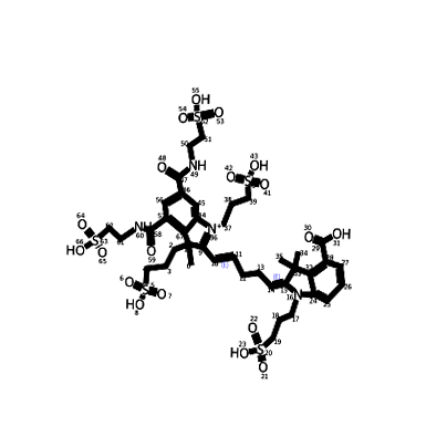 CC1(CCCS(=O)(=O)O)C(/C=C/CC/C=C2/N(CCCS(=O)(=O)O)c3cccc(C(=O)O)c3C2(C)C)=[N+](CCCS(=O)(=O)O)c2cc(C(=O)NCCS(=O)(=O)O)cc(C(=O)NCCS(=O)(=O)O)c21